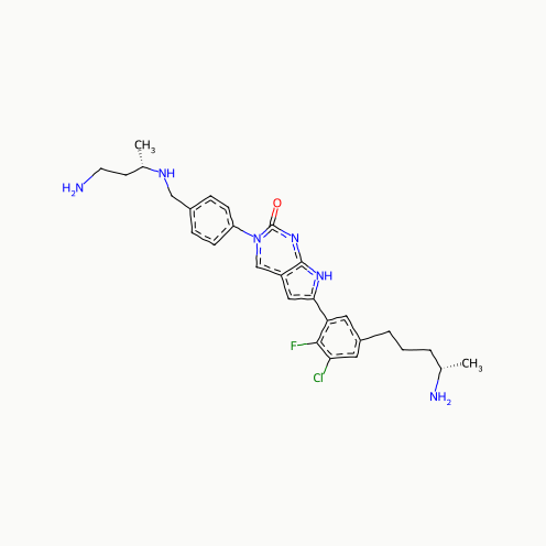 C[C@H](N)CCCc1cc(Cl)c(F)c(-c2cc3cn(-c4ccc(CN[C@@H](C)CCN)cc4)c(=O)nc3[nH]2)c1